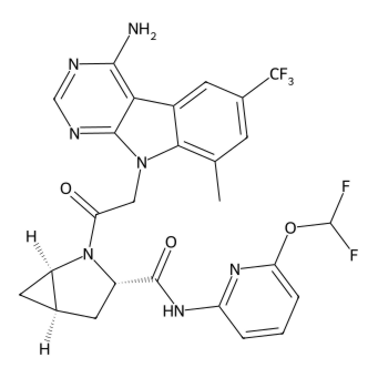 Cc1cc(C(F)(F)F)cc2c3c(N)ncnc3n(CC(=O)N3[C@@H]4C[C@@H]4C[C@H]3C(=O)Nc3cccc(OC(F)F)n3)c12